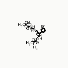 CC(C)(C)OC(=O)NCCNCc1sc(NOC(=O)C(C)(C)C)nc1-c1cccc(Br)c1